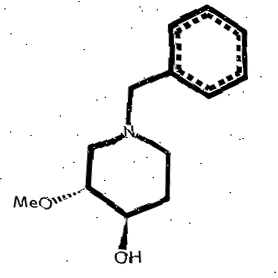 CO[C@@H]1CN(Cc2ccccc2)CC[C@H]1O